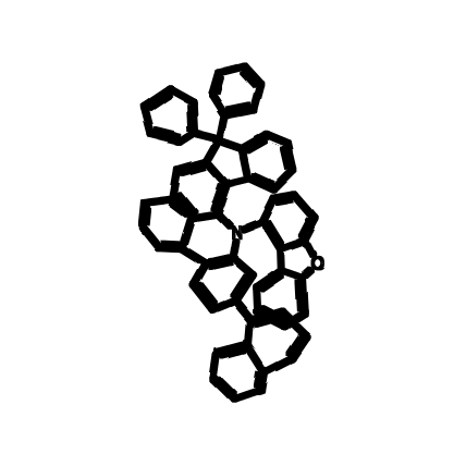 c1ccc(-c2ccc(-c3cccc4ccccc34)cc2N(c2cccc3c2-c2ccccc2C3(c2ccccc2)c2ccccc2)c2cccc3oc4ccccc4c23)cc1